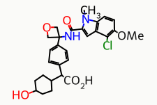 COc1ccc2c(cc(C(=O)NC3(c4ccc(C(C(=O)O)C5CCC(O)CC5)cc4)COC3)n2C)c1Cl